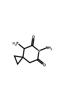 NN1C(=O)CC2(CC2)C(P)C1=O